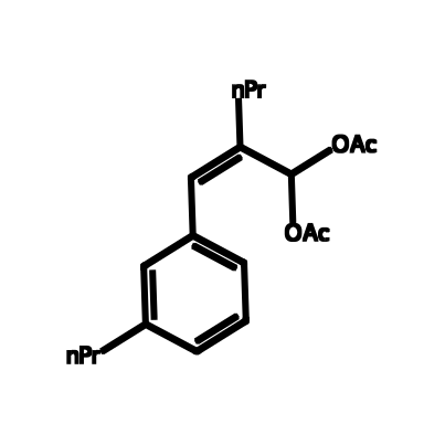 CCCC(=Cc1cccc(CCC)c1)C(OC(C)=O)OC(C)=O